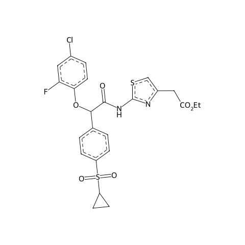 CCOC(=O)Cc1csc(NC(=O)C(Oc2ccc(Cl)cc2F)c2ccc(S(=O)(=O)C3CC3)cc2)n1